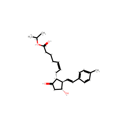 Cc1ccc(/C=C/[C@H]2[C@H](O)CC(=O)[C@@H]2C/C=C\CCCC(=O)OC(C)C)cc1